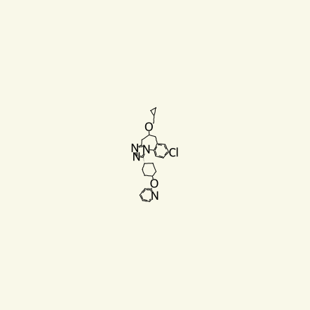 Clc1ccc2c(c1)CC(OCC1CC1)Cc1nnc([C@H]3CC[C@H](Oc4ccccn4)CC3)n1-2